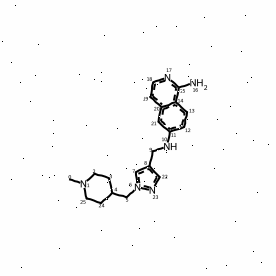 CN1CCC(Cn2cc(CNc3ccc4c(N)nccc4c3)cn2)CC1